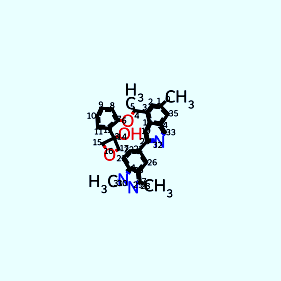 Cc1cc([C@@H](C)Oc2ccccc2C2(O)COC2)c2cc(-c3ccc4c(c3)c(C)nn4C)ncc2c1